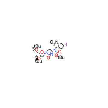 CC(C)(C)OC(=O)N(Cc1ccc(I)cc1[N+](=O)[O-])c1ccn([C@H]2CC(O[Si](C)(C)C(C)(C)C)[C@@H](CO[Si](C)(C)C(C)(C)C)O2)c(=O)n1